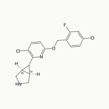 Fc1cc(Cl)ccc1COc1ccc(Cl)c(C2[C@H]3CNC[C@@H]23)n1